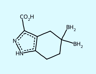 BC1(B)CCc2[nH]nc(C(=O)O)c2C1